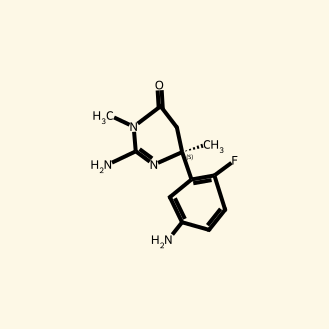 CN1C(=O)C[C@@](C)(c2cc(N)ccc2F)N=C1N